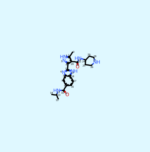 Cc1[nH]nc(-c2nc3cc(C(=O)NC(C)C)ccc3[nH]2)c1C(=O)NC1CCNCC1